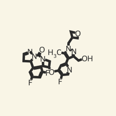 Cc1c(-c2cc(OC3CN(C(=O)N4N=CCC4c4cc(F)cc(F)c4)C3)c(F)cn2)c(CO)nn1CC1COC1